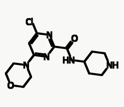 O=C(NC1CCNCC1)c1nc(Cl)cc(N2CCOCC2)n1